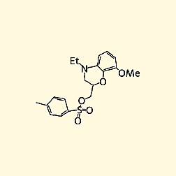 CCN1CC(COS(=O)(=O)c2ccc(C)cc2)Oc2c(OC)cccc21